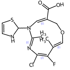 CC1=C\OC/C(C(=O)O)=C\N(C2NC=CS2)/C(C)=N/C(Cl)=C\1F